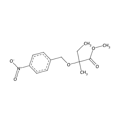 CCC(C)(OCc1ccc([N+](=O)[O-])cc1)C(=O)OC